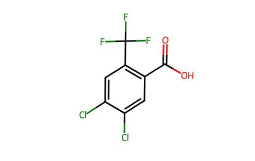 O=C(O)c1cc(Cl)c(Cl)cc1C(F)(F)F